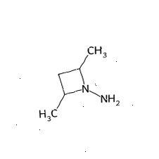 CC1CC(C)N1N